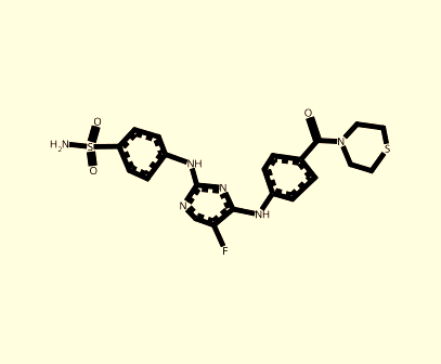 NS(=O)(=O)c1ccc(Nc2ncc(F)c(Nc3ccc(C(=O)N4CCSCC4)cc3)n2)cc1